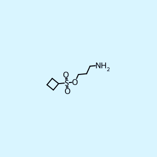 NCCCOS(=O)(=O)C1CCC1